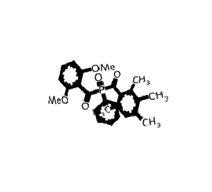 COc1cccc(OC)c1C(=O)P(=O)(C(=O)c1c(C)cc(C)c(C)c1C)c1ccccc1